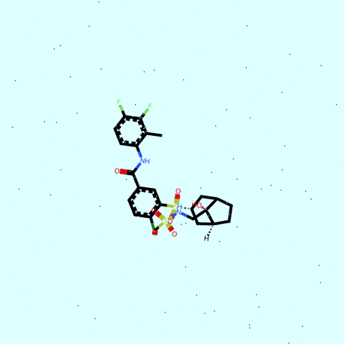 Cc1c(NC(=O)c2ccc(Cl)c(S(=O)(=O)[C@@H]3CC4CC[C@@H](C3)[C@@]4(O)CNS(C)(=O)=O)c2)ccc(F)c1F